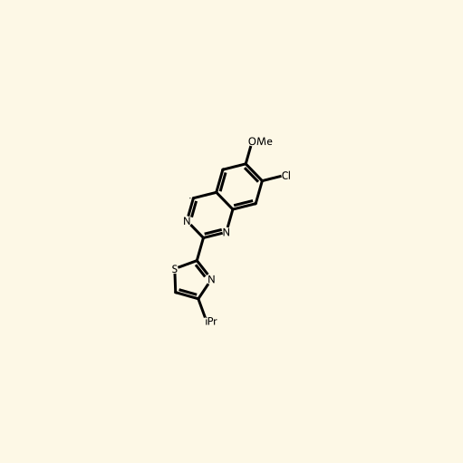 COc1cc2[c]nc(-c3nc(C(C)C)cs3)nc2cc1Cl